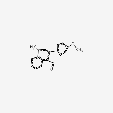 COc1ccc(-c2cc(C)c3ccccc3c2C=O)cc1